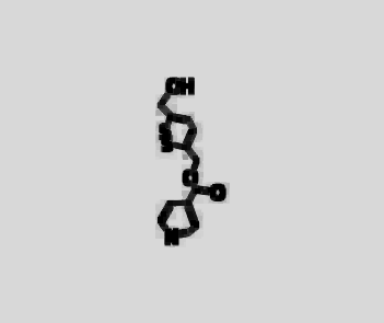 O=C(OCC1=CC=C(CO)SS1)c1ccncc1